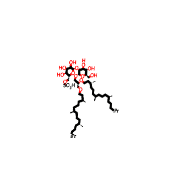 CC(C)CCC[C@@H](C)CCC[C@@H](C)CCC[C@@H](C)CCOC[C@H](CO[C@H]1O[C@H](CO)[C@@H](O)C(O)C1O[C@H]1O[C@H](COS(=O)(=O)O)[C@@H](O)C(O)C1O)OCC[C@H](C)CCC[C@H](C)CCC[C@H](C)CCCC(C)C